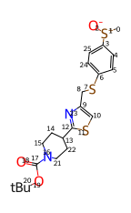 C[S+]([O-])c1ccc(SCc2csc(C3CCN(C(=O)OC(C)(C)C)CC3)n2)cc1